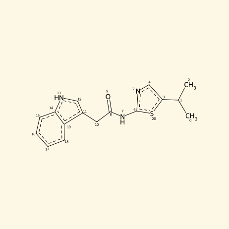 CC(C)c1cnc(NC(=O)Cc2c[nH]c3ccccc23)s1